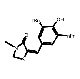 CCCc1cc(C=C2SCN(C)C2=O)cc(C(C)(C)C)c1O